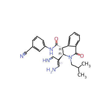 CC(C)CN1C(=O)c2ccccc2[C@@H](C(=O)Nc2cccc(C#N)c2)[C@@H]1/C(C=N)=C/N